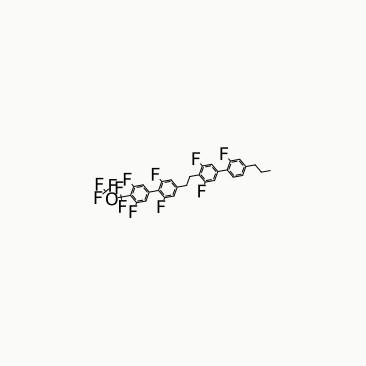 CCCc1ccc(-c2cc(F)c(CCc3cc(F)c(-c4cc(F)c(C(F)(F)OC(F)(F)F)c(F)c4)c(F)c3)c(F)c2)c(F)c1